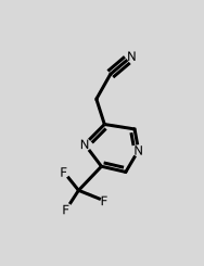 N#CCc1cncc(C(F)(F)F)n1